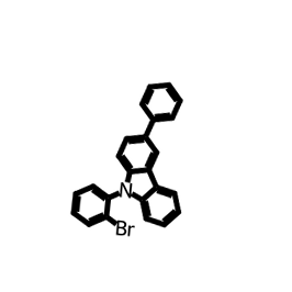 Brc1ccccc1-n1c2ccccc2c2cc(-c3ccccc3)ccc21